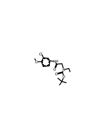 CCN(CC(=O)Nc1ccc(OC)c(Cl)c1)C(=O)OC(C)(C)C